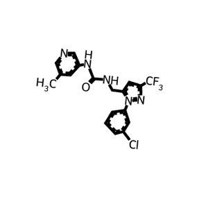 Cc1cncc(NC(=O)NCc2cc(C(F)(F)F)nn2-c2cccc(Cl)c2)c1